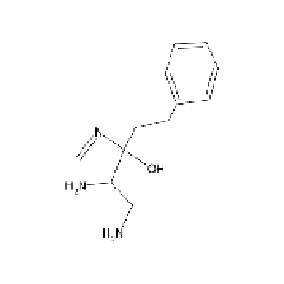 C=NC(O)(CCc1ccccc1)C(N)CN